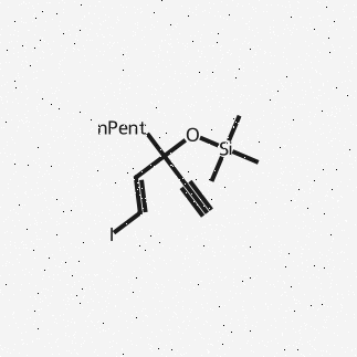 C#CC(C=CI)(CCCCC)O[Si](C)(C)C